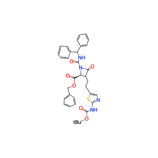 CC(C)(C)OC(=O)Nc1ncc(CCC2C(=O)N(C(=O)NC(c3ccccc3)c3ccccc3)[C@@H]2C(=O)OCc2ccccc2)s1